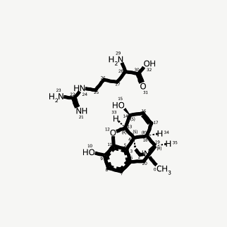 CN1CC[C@]23c4c5ccc(O)c4O[C@H]2[C@@H](O)C=C[C@H]3[C@H]1C5.N=C(N)NCCCC(N)C(=O)O